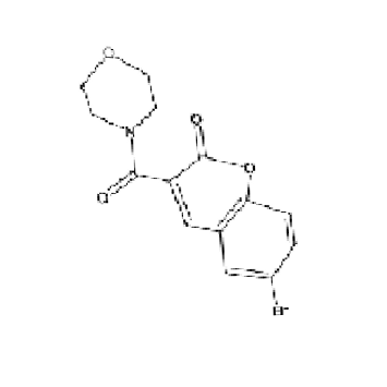 O=C(c1cc2cc(Br)ccc2oc1=O)N1CCOCC1